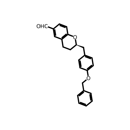 O=Cc1ccc2c(c1)CC[C@H](Cc1ccc(OCc3ccccc3)cc1)O2